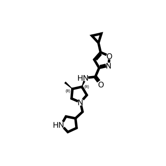 C[C@@H]1CN(CC2CCNC2)C[C@@H]1NC(=O)c1cc(C2CC2)on1